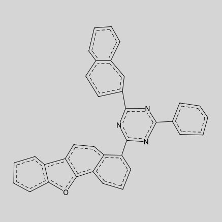 c1ccc(-c2nc(-c3ccc4ccccc4c3)nc(-c3cccc4c3ccc3c5ccccc5oc43)n2)cc1